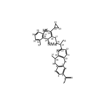 C=C(C)c1ccc2c(c1)Cc1ccc(C(C)CC/C(=C(/S)C3CC3)C(NC)c3c(C)cccc3C)nc1C(C)C2